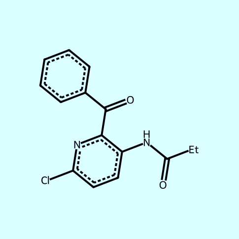 CCC(=O)Nc1ccc(Cl)nc1C(=O)c1ccccc1